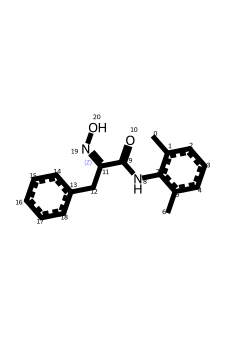 Cc1cccc(C)c1NC(=O)/C(Cc1ccccc1)=N\O